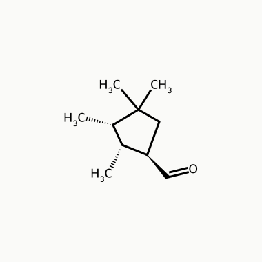 C[C@H]1[C@H](C=O)CC(C)(C)[C@H]1C